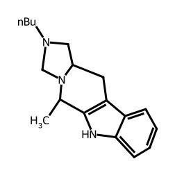 CCCCN1CC2Cc3c([nH]c4ccccc34)C(C)N2C1